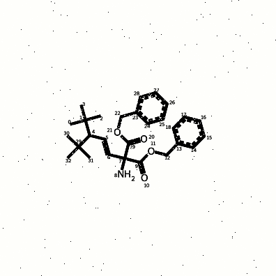 CC(C)(C)C(C=CC(N)(C(=O)OCc1ccccc1)C(=O)OCc1ccccc1)C(C)(C)C